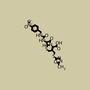 Cc1nnc(SCC2=C(C(=O)O)N3C(=O)C(NC(=O)NCc4ccc([N+](=O)[O-])cc4)[C@@H]3SC2)o1